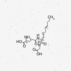 CCC/C=C/CSC[C@H](NC(=O)CC[C@H](N)C(=O)O)C(=O)NCC(=O)O